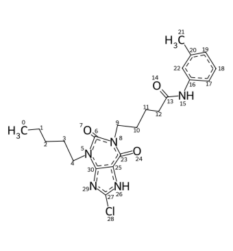 CCCCCn1c(=O)n(CCCCC(=O)Nc2cccc(C)c2)c(=O)c2[nH]c(Cl)nc21